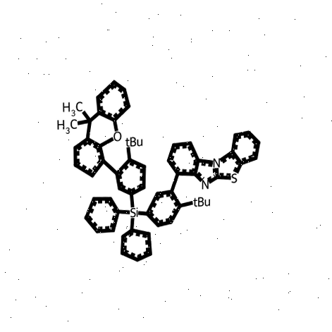 CC(C)(C)c1ccc([Si](c2ccccc2)(c2ccccc2)c2ccc(C(C)(C)C)c(-c3cccc4c3nc3sc5ccccc5n34)c2)cc1-c1cccc2c1Oc1ccccc1C2(C)C